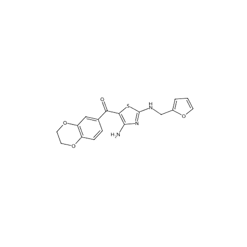 Nc1nc(NCc2ccco2)sc1C(=O)c1ccc2c(c1)OCCO2